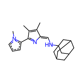 CC1=C(C)C(c2cccn2C)=NC1=CNC12CC3CC(CC(C3)C1)C2